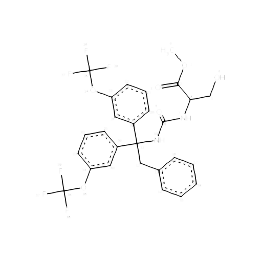 COC(=O)C(CO)NC(=O)NC(Cc1ccccc1)(c1cccc(OC(F)(F)F)c1)c1cccc(OC(F)(F)F)c1